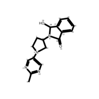 Cc1ncc(N2CCC(N3C(=O)c4ccccc4C3O)C2)cn1